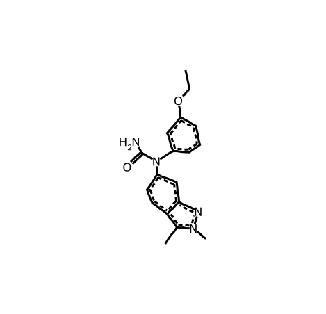 CCOc1cccc(N(C(N)=O)c2ccc3c(C)n(C)nc3c2)c1